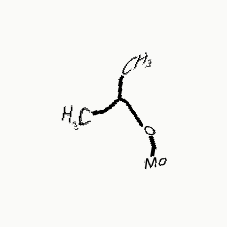 CC(C)[O][Mo]